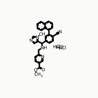 COC(=O)c1ccc(CNC(c2ccc(C#N)c(-c3cccc4ccccc34)c2)c2cncn2C)nc1.Cl.Cl.Cl